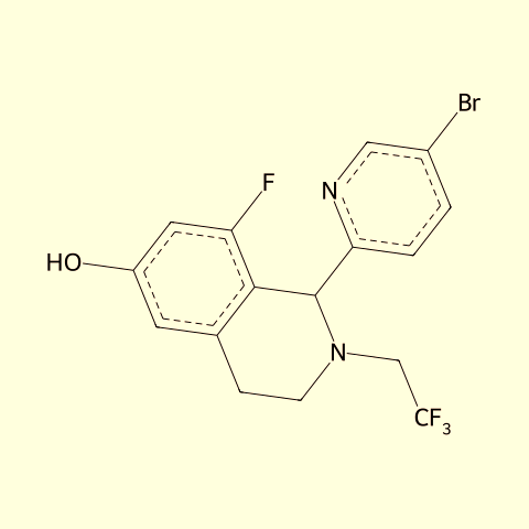 Oc1cc(F)c2c(c1)CCN(CC(F)(F)F)C2c1ccc(Br)cn1